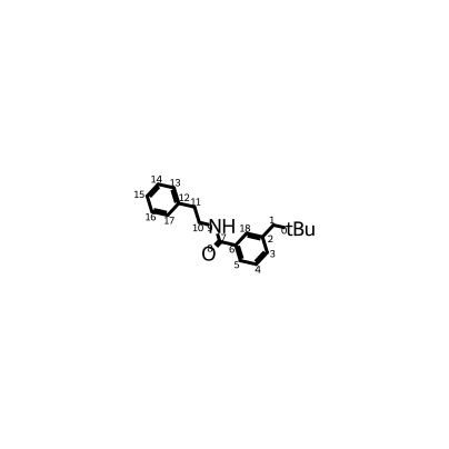 CC(C)(C)Cc1cccc(C(=O)NCCc2ccccc2)c1